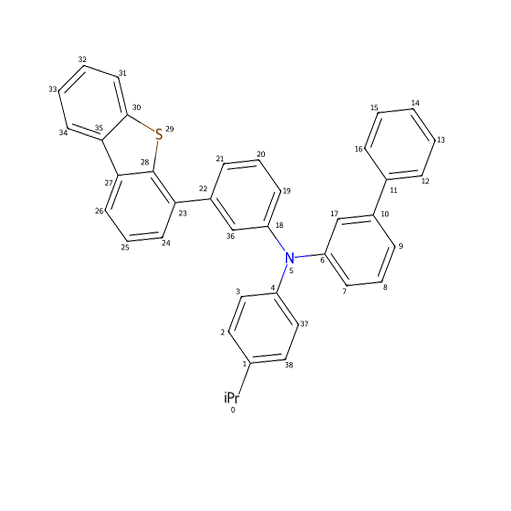 CC(C)c1ccc(N(c2cccc(-c3ccccc3)c2)c2cccc(-c3cccc4c3sc3ccccc34)c2)cc1